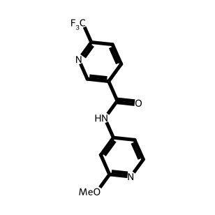 COc1cc(NC(=O)c2ccc(C(F)(F)F)nc2)ccn1